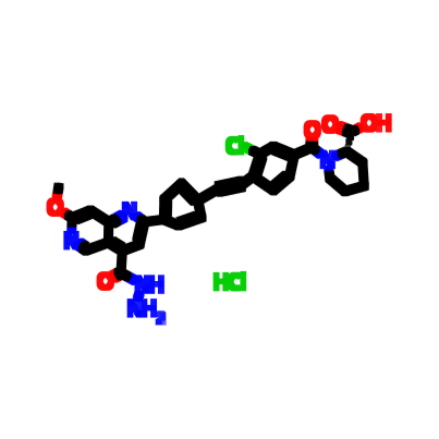 COc1cc2nc(-c3ccc(C#Cc4ccc(C(=O)N5CCCC[C@H]5C(=O)O)cc4Cl)cc3)cc(C(=O)NN)c2cn1.Cl